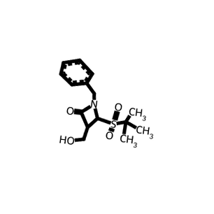 CC(C)(C)S(=O)(=O)C1C(CO)C(=O)N1Cc1ccccc1